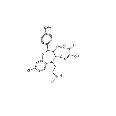 CCN(CC)CCN1C(=O)C(OC(C)=O)C(c2ccc(OC)cc2)Sc2cc(Cl)ccc21.O=C(O)C(=O)O